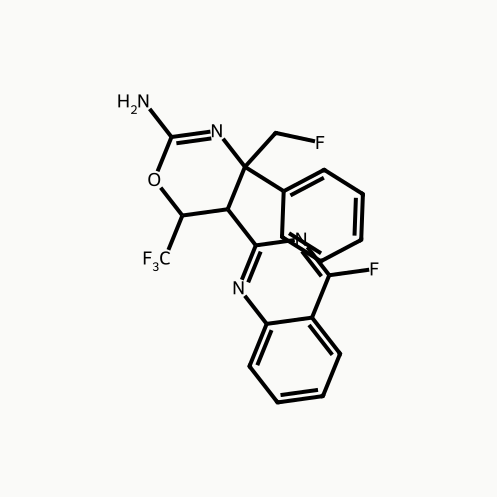 NC1=NC(CF)(c2ccccc2)C(c2nc(F)c3ccccc3n2)C(C(F)(F)F)O1